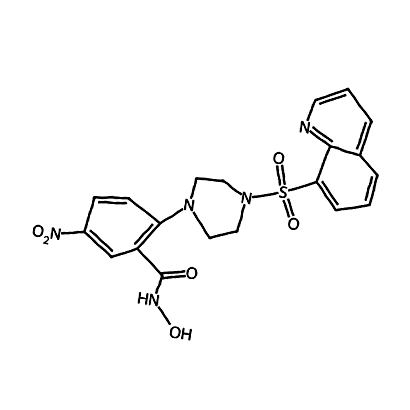 O=C(NO)c1cc([N+](=O)[O-])ccc1N1CCN(S(=O)(=O)c2cccc3cccnc23)CC1